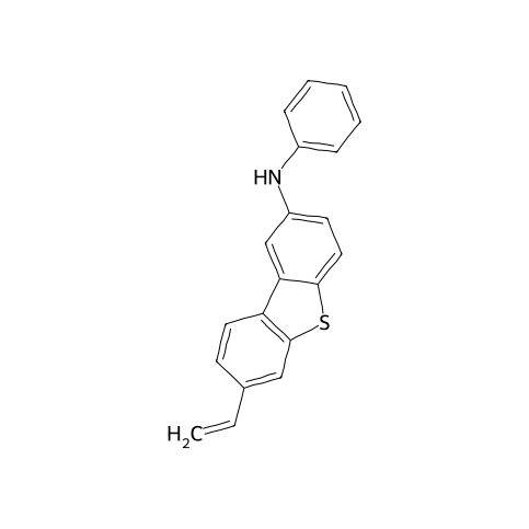 C=Cc1ccc2c(c1)sc1ccc(Nc3ccccc3)cc12